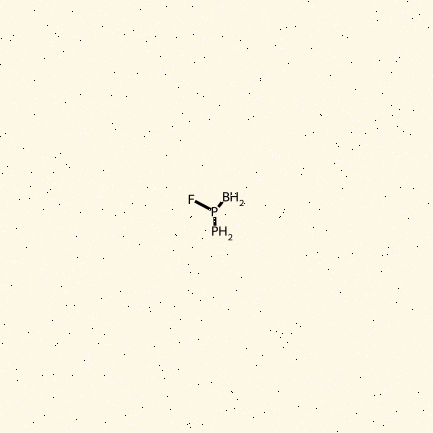 BP(F)P